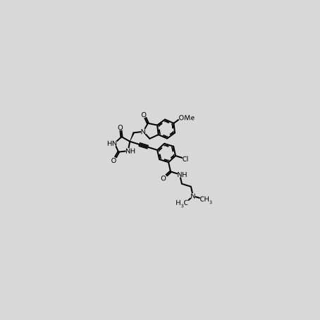 COc1ccc2c(c1)C(=O)N(C[C@@]1(C#Cc3ccc(Cl)c(C(=O)NCCN(C)C)c3)NC(=O)NC1=O)C2